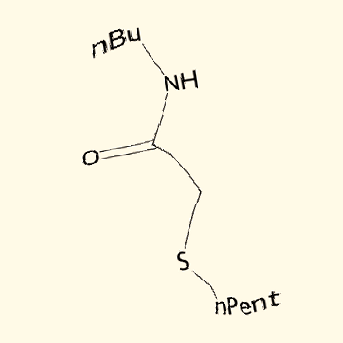 CCCCCSCC(=O)NCCCC